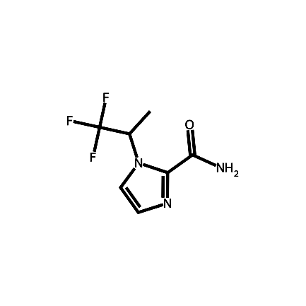 CC(n1ccnc1C(N)=O)C(F)(F)F